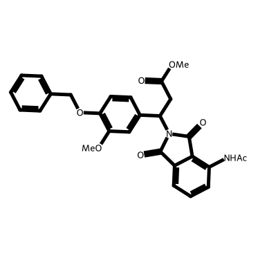 COC(=O)CC(c1ccc(OCc2ccccc2)c(OC)c1)N1C(=O)c2cccc(NC(C)=O)c2C1=O